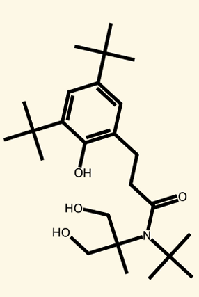 CC(C)(C)c1cc(CCC(=O)N(C(C)(C)C)C(C)(CO)CO)c(O)c(C(C)(C)C)c1